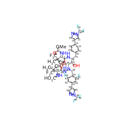 COC(=O)NC(C(=O)NC(Cc1ccc(-c2cnn(C(F)F)c2)cc1)C(O)CN(Cc1c(F)cc(-c2cnn(C(F)F)c2)cc1F)NC(=O)C(NC(=O)O)C(C)(C)C(F)(F)F)C(C)(C)C(F)(F)F